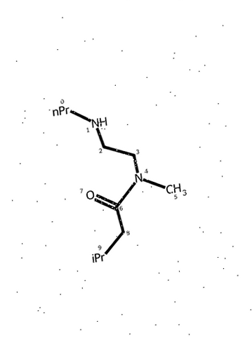 CCCNCCN(C)C(=O)CC(C)C